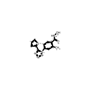 Cc1cc(-n2nnnc2-c2cccs2)ccc1C(=O)NO